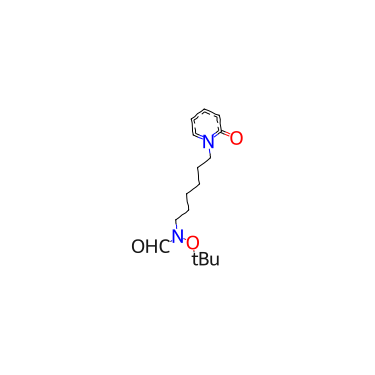 CC(C)(C)ON(C=O)CCCCCCn1ccccc1=O